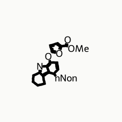 CCCCCCCCCC1C=CC(Oc2ccc(C(=O)OC)o2)=C2N=C3CCCCC3=C21